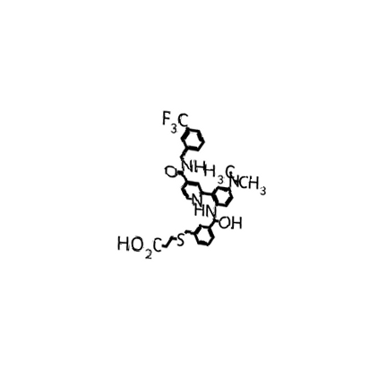 CN(C)c1ccc(NC(O)c2cccc(CSCCC(=O)O)c2)c(-c2cc(C(=O)NCc3cccc(C(F)(F)F)c3)ccn2)c1